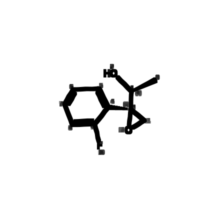 C[C@H](O)[C@@]1(c2ccccc2F)CO1